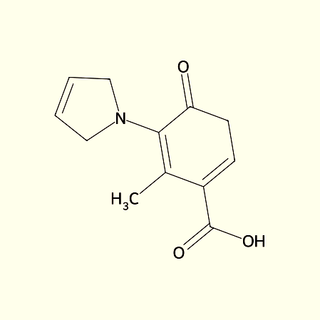 CC1=C(N2CC=CC2)C(=O)CC=C1C(=O)O